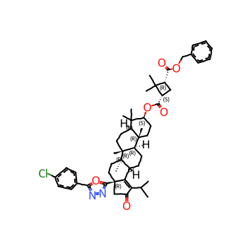 CC(C)C1=C2[C@H]3CC[C@@H]4[C@@]5(C)CC[C@H](OC(=O)[C@H]6C[C@@H](C(=O)OCc7ccccc7)C6(C)C)C(C)(C)[C@@H]5CC[C@@]4(C)[C@]3(C)CC[C@@]2(c2nnc(-c3ccc(Cl)cc3)o2)CC1=O